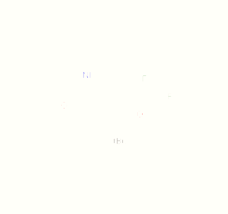 CC(C)(C)c1cc2c(cc1OC(F)F)NCCO2